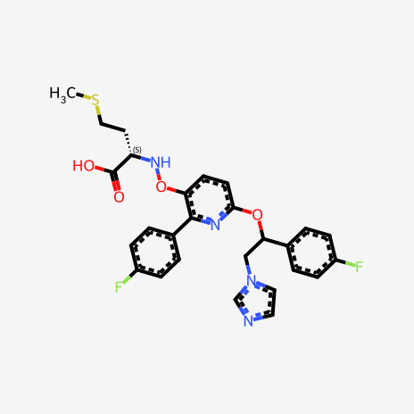 CSCC[C@H](NOc1ccc(OC(Cn2ccnc2)c2ccc(F)cc2)nc1-c1ccc(F)cc1)C(=O)O